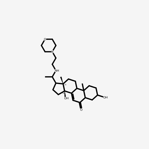 CC(NCCN1CCOCC1)C1CC[C@@]2(O)C3=CC(=O)C4CC(O)CCC4(C)C3CC[C@@]12C